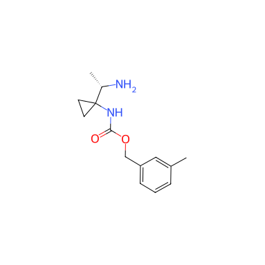 Cc1cccc(COC(=O)NC2([C@H](C)N)CC2)c1